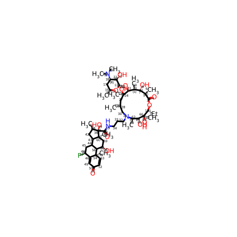 CC[C@H]1OC(=O)[C@H](C)[C@@H](O)[C@H](C)C(O[C@@H]2O[C@H](C)C[C@@H](N(C)C)[C@H]2O)[C@](C)(O)C[C@@H](C)CN(CCCNC(=O)[C@@]2(O)[C@H](C)CC3C4C[C@H](F)C5=CC(=O)C=C[C@]5(C)C4[C@@H](O)C[C@@]32C)[C@H](C)[C@@H](O)[C@]1(C)O